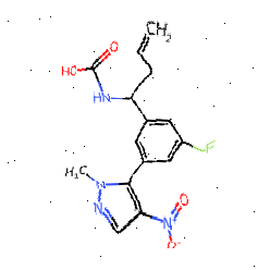 C=CCC(NC(=O)O)c1cc(F)cc(-c2c([N+](=O)[O-])cnn2C)c1